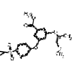 COC[C@H](C)Oc1cc(Oc2ccc(S(=O)(=O)C3CC3)nc2)cc(C(=O)OC)c1